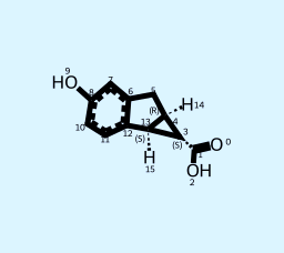 O=C(O)[C@H]1[C@@H]2Cc3cc(O)ccc3[C@@H]21